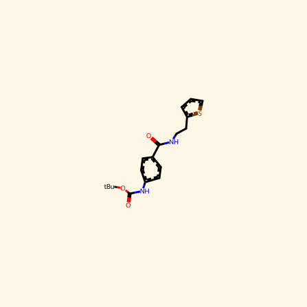 CC(C)(C)OC(=O)Nc1ccc(C(=O)NCCc2cccs2)cc1